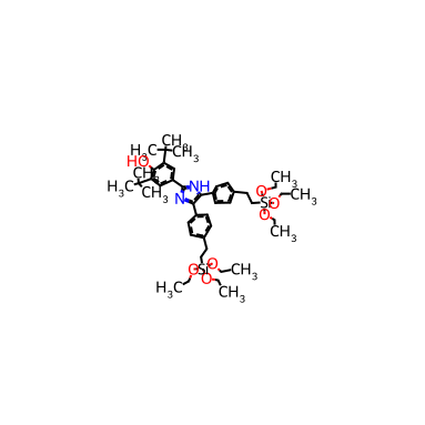 CCO[Si](CCc1ccc(-c2nc(-c3cc(C(C)(C)C)c(O)c(C(C)(C)C)c3)[nH]c2-c2ccc(CC[Si](OCC)(OCC)OCC)cc2)cc1)(OCC)OCC